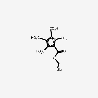 Cn1c(C(=O)O)c(C(=O)O)c(C(=O)O)c1C(=O)OCC(C)(C)C